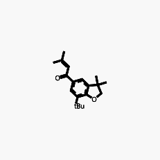 CC(C)=CC(=O)c1cc(C(C)(C)C)c2c(c1)C(C)(C)CO2